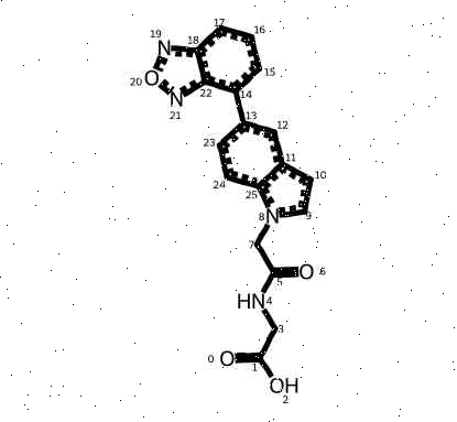 O=C(O)CNC(=O)Cn1ccc2cc(-c3cccc4nonc34)ccc21